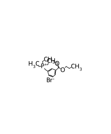 CCCOC(=O)c1cccc(C[P+](CC)(CC)CC)c1.[Br-]